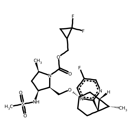 C[C@@H]1C[C@H](NS(C)(=O)=O)[C@H](CO[C@H]2CC[C@]3(c4ncc(F)cn4)[C@H](C2)[C@@H]3C)N1C(=O)OCC1CC1(F)F